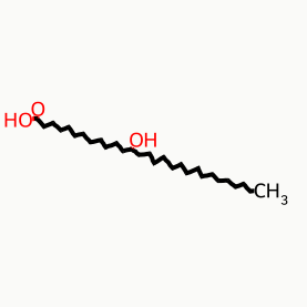 CCCCCCCCCCCCCCCCC(O)CCCCCCCCCCCC(=O)O